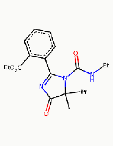 CCNC(=O)N1C(c2ccccc2C(=O)OCC)=NC(=O)C1(C)C(C)C